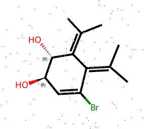 CC(C)=C1C(Br)=C[C@@H](O)[C@H](O)C1=C(C)C